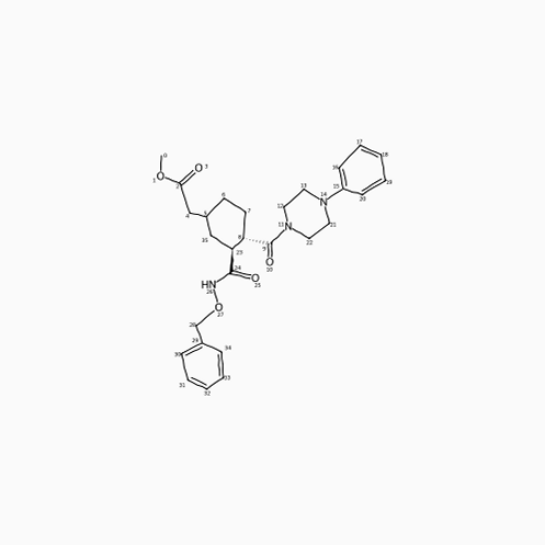 COC(=O)CC1CC[C@H](C(=O)N2CCN(c3ccccc3)CC2)[C@@H](C(=O)NOCc2ccccc2)C1